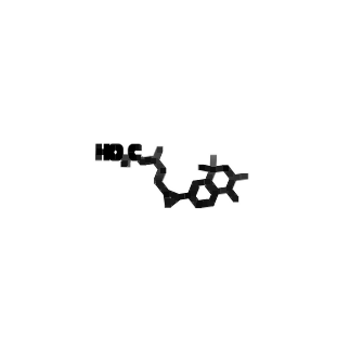 CC(C=CC1CC1c1ccc2c(c1)C(C)(C)CC(C)C2C)=CC(=O)O